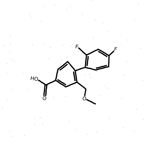 COCc1cc(C(=O)O)ccc1-c1ccc(F)cc1F